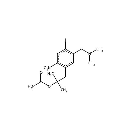 CN(C)Cc1cc(CC(C)(C)OC(N)=O)c([N+](=O)[O-])cc1I